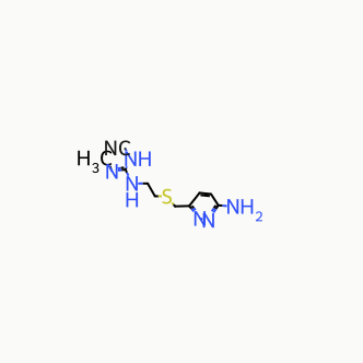 C/N=C(\NC#N)NCCSCc1ccc(N)nn1